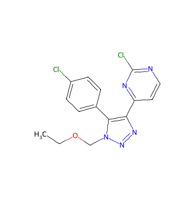 CCOCn1nnc(-c2ccnc(Cl)n2)c1-c1ccc(Cl)cc1